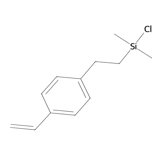 C=Cc1ccc(CC[Si](C)(C)Cl)cc1